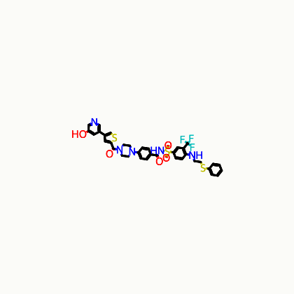 O=C(NS(=O)(=O)c1ccc(NCCSc2ccccc2)c(C(F)(F)F)c1)c1ccc(N2CCN(C(=O)c3cc(-c4cncc(O)c4)cs3)CC2)cc1